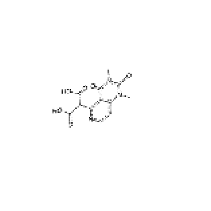 Cn1c(=O)c2c(C(C(=O)O)C(=O)O)nccc2n(C)c1=O